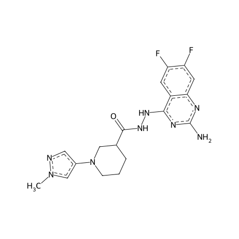 Cn1cc(N2CCCC(C(=O)NNc3nc(N)nc4cc(F)c(F)cc34)C2)cn1